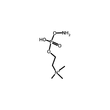 C[N+](C)(C)CCOP(=O)(O)ON